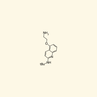 CC(C)(C)Nc1ccc2c(OCCN)cccc2n1